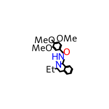 CCC1Cc2ccccc2C(CNC(=O)c2cc(OC)c(OC)c(OC)c2)N1C